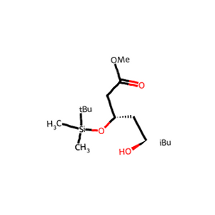 CC[C@H](C)[C@@H](O)C[C@@H](CC(=O)OC)O[Si](C)(C)C(C)(C)C